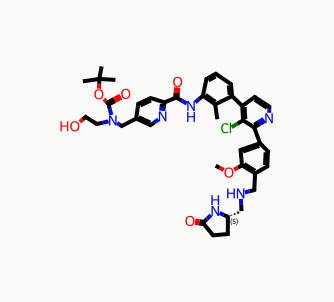 COc1cc(-c2nccc(-c3cccc(NC(=O)c4ccc(CN(CCO)C(=O)OC(C)(C)C)cn4)c3C)c2Cl)ccc1CNC[C@@H]1CCC(=O)N1